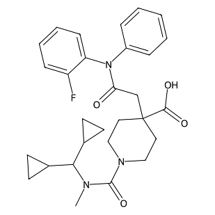 CN(C(=O)N1CCC(CC(=O)N(c2ccccc2)c2ccccc2F)(C(=O)O)CC1)C(C1CC1)C1CC1